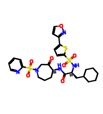 O=C1CN(S(=O)(=O)c2ccccn2)CCC[C@@H]1NC(=O)[C@H](CC1CCCCC1)NS(=O)(=O)c1ccc(-c2ccon2)s1